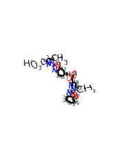 Cc1cc(C(=O)O)nn1-c1nc2ccc(COC(=O)c3cc(C)n(-c4nc5ccccc5o4)n3)cc2o1